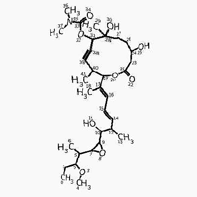 CCC(OC)C(C)C1OC1C(O)C(C)/C=C/C=C(\C)C1OC(=O)CC(O)CCC(C)(O)C(OC(=O)N(C)C)/C=C/C1C